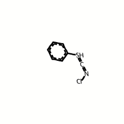 ClN=C=[SH]c1ccccc1